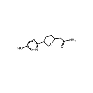 NC(=O)CC1CCN(c2ncc(O)cn2)CC1